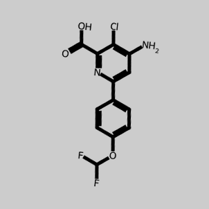 Nc1cc(-c2ccc(OC(F)F)cc2)nc(C(=O)O)c1Cl